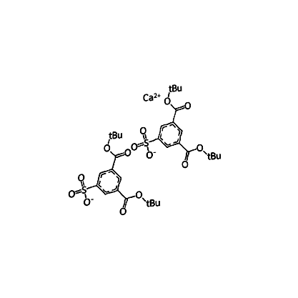 CC(C)(C)OC(=O)c1cc(C(=O)OC(C)(C)C)cc(S(=O)(=O)[O-])c1.CC(C)(C)OC(=O)c1cc(C(=O)OC(C)(C)C)cc(S(=O)(=O)[O-])c1.[Ca+2]